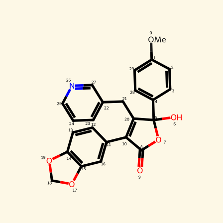 COc1ccc(C2(O)OC(=O)C(c3ccc4c(c3)OCO4)=C2Cc2cccnc2)cc1